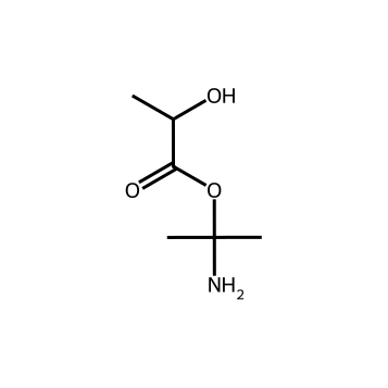 CC(O)C(=O)OC(C)(C)N